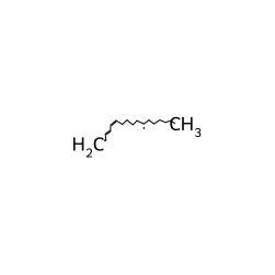 C=C/C=C/C=C\CCCC[CH]CCCCCC